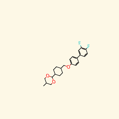 CC1COC(C2CCC(COc3ccc(-c4ccc(F)c(F)c4)cc3)CC2)OC1